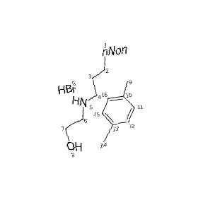 Br.CCCCCCCCCCCCNCCO.Cc1ccc(C)cc1